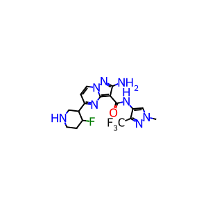 Cn1cc(NC(=O)c2c(N)nn3ccc(C4CNCCC4F)nc23)c(C(F)(F)F)n1